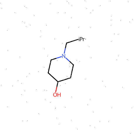 C[C](C)CN1CCC(O)CC1